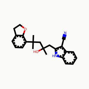 CC(O)(Cc1[nH]c2ccccc2c1C#N)CC(C)(C)c1cccc2c1OCC2